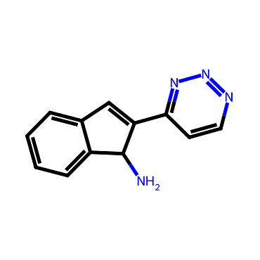 NC1C(c2ccnnn2)=Cc2ccccc21